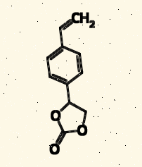 C=Cc1ccc(C2COC(=O)O2)cc1